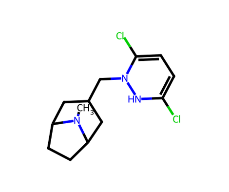 CN1C2CCC1CC(CN1NC(Cl)=CC=C1Cl)C2